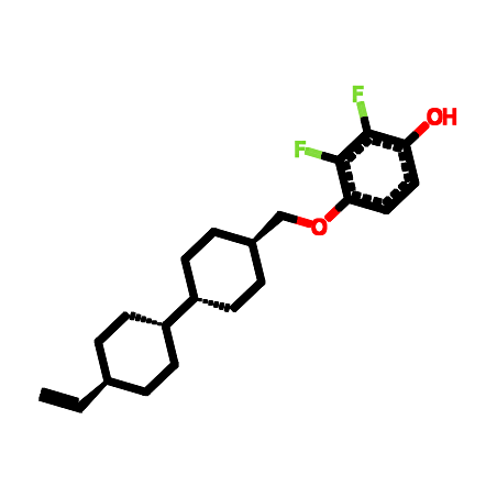 C=C[C@H]1CC[C@H]([C@H]2CC[C@H](COc3ccc(O)c(F)c3F)CC2)CC1